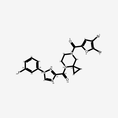 O=C(c1cc(Br)c(Br)o1)N1CCN(C(=O)c2ncn(-c3cccc(F)c3)n2)C2(CC2)C1